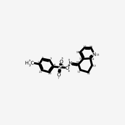 Cc1ccc(S(=O)(=O)ON=C2CCCc3ncccc32)cc1